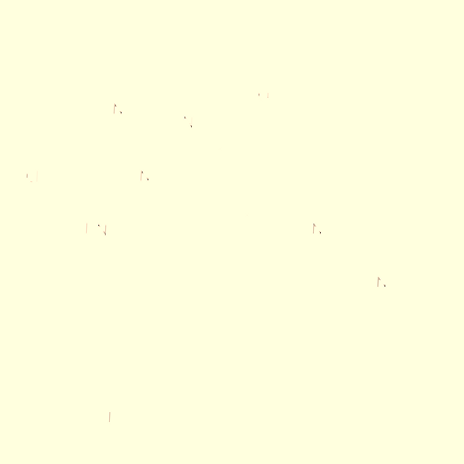 COc1cc(N2CCN(C)CC2)ccc1Nc1ncc(Cl)c(NCc2ccc(F)cc2)n1